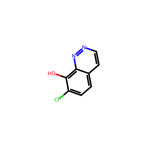 Oc1c(Cl)ccc2ccnnc12